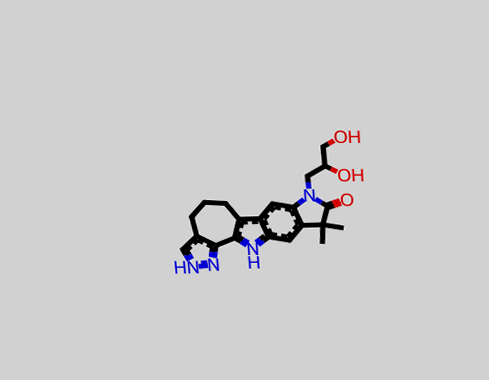 CC1(C)C(=O)N(CC(O)CO)c2cc3c4c([nH]c3cc21)-c1n[nH]cc1CCC4